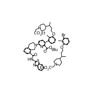 CCOC(=O)CN1CCC(C(C)CCOc2cccc(-c3ccc(N4CCc5cccc(C(=O)Nc6nc7ccccc7s6)c5C4)nc3C(=O)OC(C)(C)C)c2C)CC1.CCOC(=O)CN1CCC(C(C)CCOc2cccc(Br)c2C)CC1